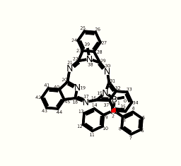 CB(N(c1ccccc1)c1ccccc1)n1c2nc3nc(nc4c5ccccc5c(nc1c1ccccc12)n4C)-c1ccccc1-3